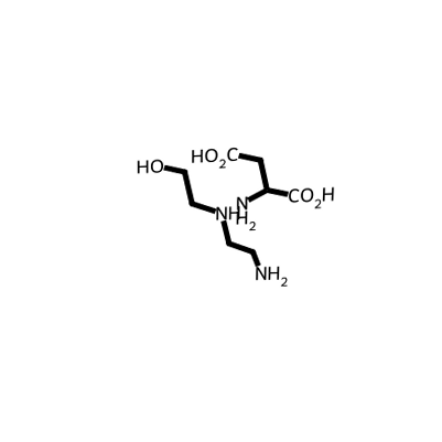 NC(CC(=O)O)C(=O)O.NCCNCCO